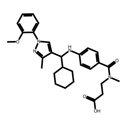 COc1ccccc1-n1cc(C(Nc2ccc(C(=O)N(C)CCC(=O)O)cc2)C2CCCCC2)c(C)n1